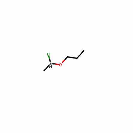 CCCO[SiH](C)Cl